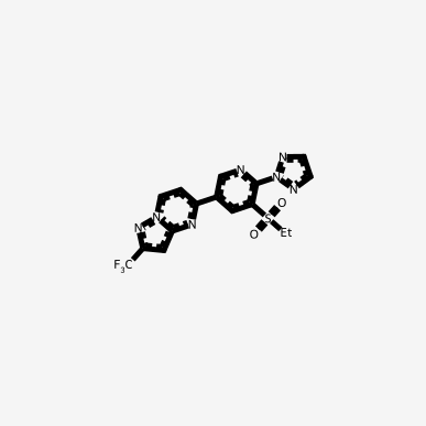 CCS(=O)(=O)c1cc(-c2ccn3nc(C(F)(F)F)cc3n2)cnc1-n1nccn1